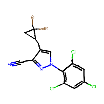 N#Cc1nn(-c2c(Cl)cc(Cl)cc2Cl)cc1C1CC1(Br)Br